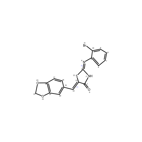 O=C1N/C(=N\c2ccccc2Br)S/C1=C\c1ccc2c(c1)OCO2